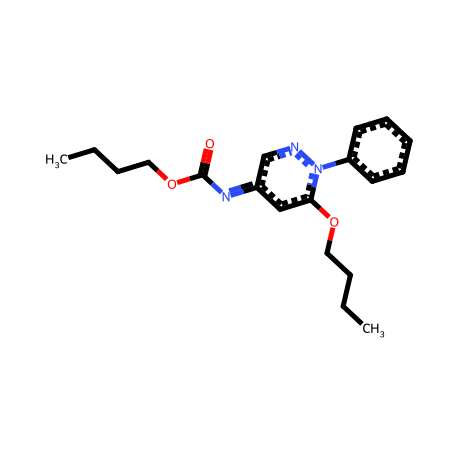 CCCCOC(=O)N=c1cnn(-c2ccccc2)c(OCCCC)c1